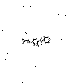 O=S(=O)(c1ccc(NCC2CC2)cc1F)N1CCOCC1